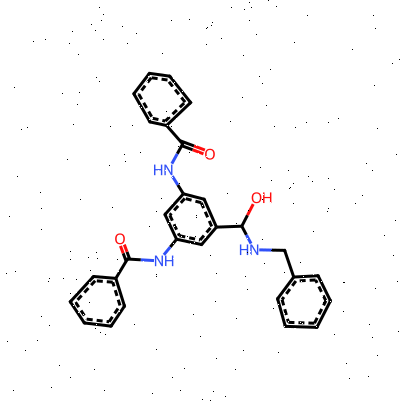 O=C(Nc1cc(NC(=O)c2ccccc2)cc(C(O)NCc2ccccc2)c1)c1ccccc1